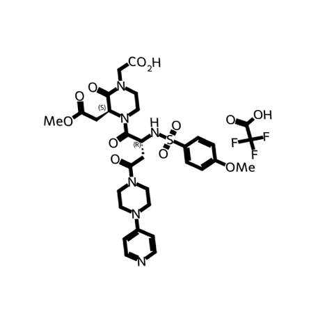 COC(=O)C[C@H]1C(=O)N(CC(=O)O)CCN1C(=O)[C@@H](CC(=O)N1CCN(c2ccncc2)CC1)NS(=O)(=O)c1ccc(OC)cc1.O=C(O)C(F)(F)F